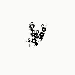 COc1cc(OC)cc(-c2nn(-c3cc(N4CCC(O)C4)ccc3C(F)(F)F)c(=O)c3c2CCN3CC(=O)N2CCOCC2)c1